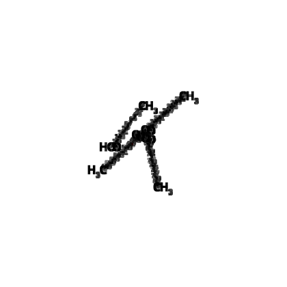 CCCCCCCCC=CCCCCCCCC(=O)O.CCCCCCCCC=CCCCCCCCC(=O)OC(COC(=O)CCCCCCCCCCCCCCCCC)COC(=O)CCCCCCCCCCCCCCCCC